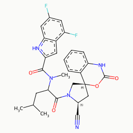 CC(C)CC(C(=O)N1C[C@]2(C[C@H]1C#N)OC(=O)Nc1ccccc12)N(C)C(=O)c1cc2c(F)cc(F)cc2[nH]1